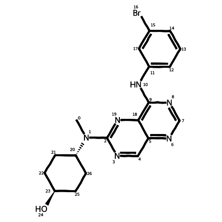 CN(c1ncc2ncnc(Nc3cccc(Br)c3)c2n1)[C@H]1CC[C@H](O)CC1